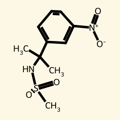 CC(C)(NS(C)(=O)=O)c1cccc([N+](=O)[O-])c1